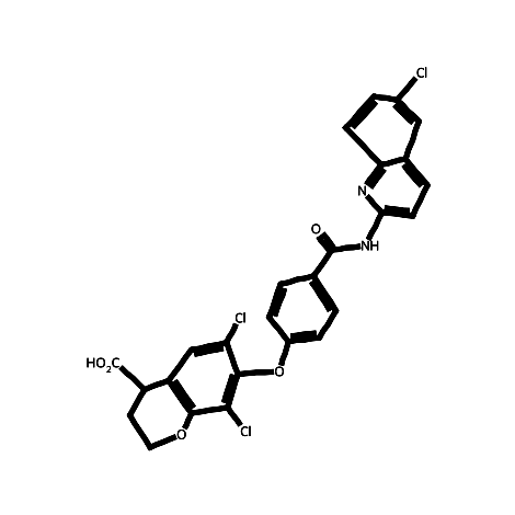 O=C(Nc1ccc2cc(Cl)ccc2n1)c1ccc(Oc2c(Cl)cc3c(c2Cl)OCCC3C(=O)O)cc1